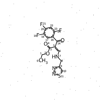 CCOC(=O)C(=CNCc1csnn1)C(=O)c1cc(F)c(F)cc1F